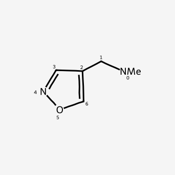 CNCc1cnoc1